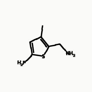 Cc1cc(P)sc1CN